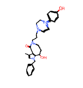 Cc1cn(Cc2ccccc2)c2c1C(=O)N(CCCN1CCN(c3ccc(O)cc3)CC1)CCC2O